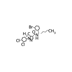 CCCCC[C@H](NC(=O)c1cnn(-c2ccc(Cl)c(Cl)c2)c1C)c1cccc(Br)c1